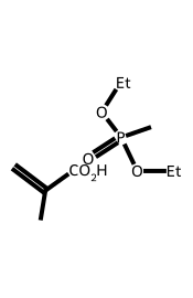 C=C(C)C(=O)O.CCOP(C)(=O)OCC